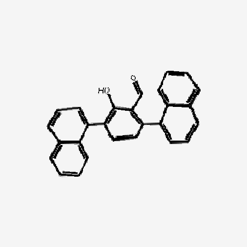 O=Cc1c(-c2cccc3ccccc23)ccc(-c2cccc3ccccc23)c1O